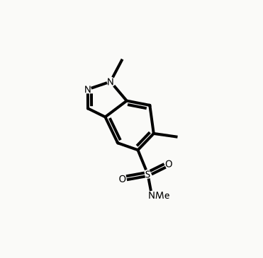 CNS(=O)(=O)c1cc2cnn(C)c2cc1C